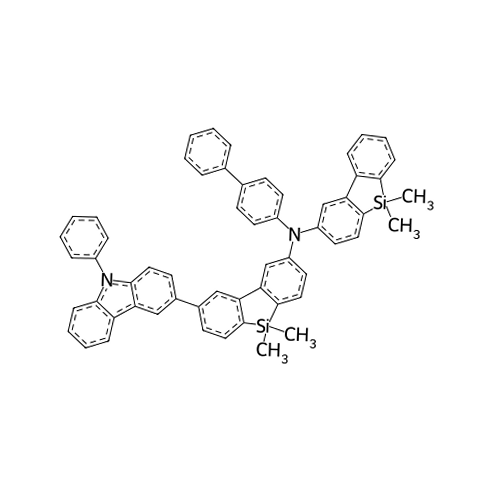 C[Si]1(C)c2ccccc2-c2cc(N(c3ccc(-c4ccccc4)cc3)c3ccc4c(c3)-c3cc(-c5ccc6c(c5)c5ccccc5n6-c5ccccc5)ccc3[Si]4(C)C)ccc21